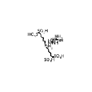 N=C(N)N.N=C(N)N.O=S(=O)(O)C(CCCCCSSCCCCCC(S(=O)(=O)O)S(=O)(=O)O)S(=O)(=O)O